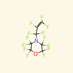 FC(F)=C(F)C(F)(F)N1C(F)(F)C(F)(F)OC(F)(F)C1(F)F